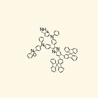 NCc1ccc(N(c2ccccc2)c2ccc(-c3nc4cc(-c5ccc6c(c5)C5(c7ccccc7-c7ccccc75)c5ccccc5-6)c(-c5ccc6c(c5)C5(c7ccccc7-c7ccccc75)c5ccccc5-6)cc4nc3-c3ccc(N(c4ccccc4)c4ccc(-c5nc6ccccc6o5)cc4)cc3)cc2)cc1